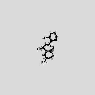 Fc1ccccc1-c1cc(Cl)c2cc(Br)cnc2n1